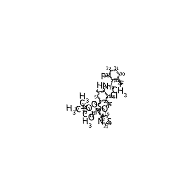 C[C@H](Nc1ccc(S(=O)(=O)N(C(=O)OC(C)(C)C)c2cscn2)c(F)c1Cl)c1c(F)cccc1F